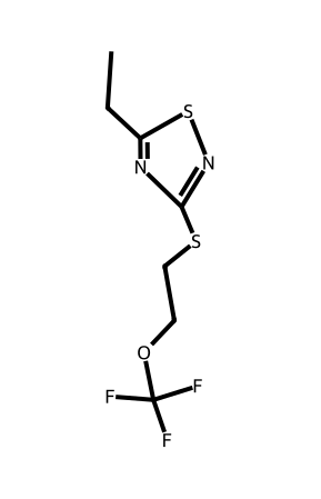 CCc1nc(SCCOC(F)(F)F)ns1